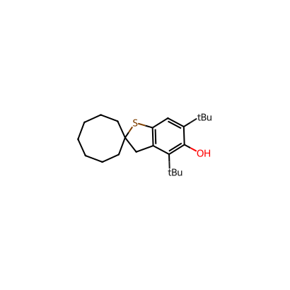 CC(C)(C)c1cc2c(c(C(C)(C)C)c1O)CC1(CCCCCCC1)S2